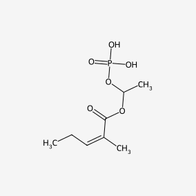 CCC=C(C)C(=O)OC(C)OP(=O)(O)O